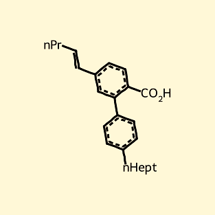 CCC/C=C/c1ccc(C(=O)O)c(-c2ccc(CCCCCCC)cc2)c1